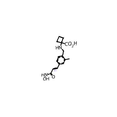 Cc1cc(/C=C/C(=O)NO)ccc1CNC1(C(=O)O)CCC1